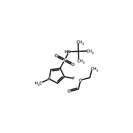 CCOC=O.Cn1cc(F)c(S(=O)(=O)NC(C)(C)C)c1